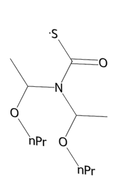 CCCOC(C)N(C(=O)[S])C(C)OCCC